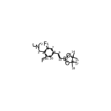 CN(C)Cc1c(F)cc(C=CB2OC(C)(C)C(C)(C)O2)cc1F